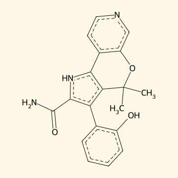 CC1(C)Oc2cnccc2-c2[nH]c(C(N)=O)c(-c3ccccc3O)c21